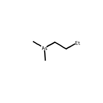 CCCC[As](C)C